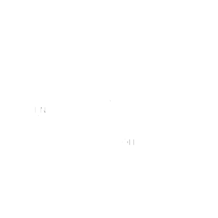 NC1CCC2(CC1)Cc1ccccc1C2O